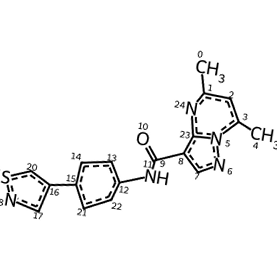 Cc1cc(C)n2ncc(C(=O)Nc3ccc(-c4cnsc4)cc3)c2n1